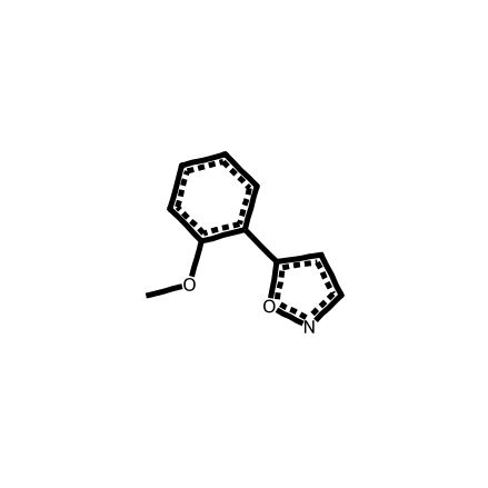 COc1ccccc1-c1ccno1